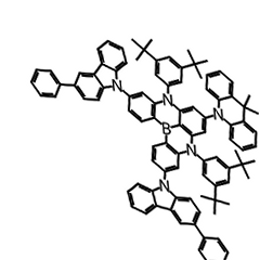 CC(C)(C)c1cc(N2c3cc(-n4c5ccccc5c5cc(-c6ccccc6)ccc54)ccc3B3c4ccc(-n5c6ccccc6c6cc(-c7ccccc7)ccc65)cc4N(c4cc(C(C)(C)C)cc(C(C)(C)C)c4)c4cc(N5c6ccccc6C(C)(C)c6ccccc65)cc2c43)cc(C(C)(C)C)c1